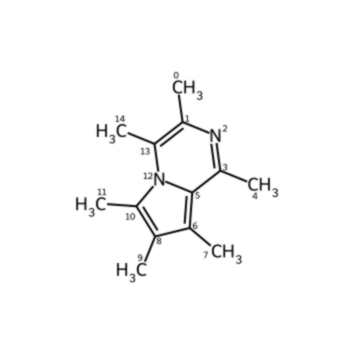 Cc1nc(C)c2c(C)c(C)c(C)n2c1C